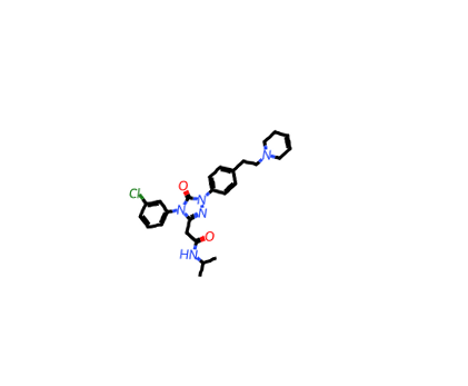 CC(C)NC(=O)Cc1nn(-c2ccc(CCN3CC=CCC3)cc2)c(=O)n1-c1cccc(Cl)c1